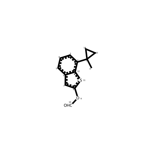 CC1(c2cccc3cc(OC=O)sc23)CC1